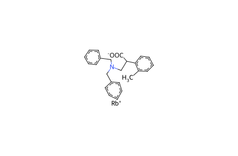 Cc1ccccc1C(CN(Cc1ccccc1)Cc1ccccc1)C(=O)[O-].[Rb+]